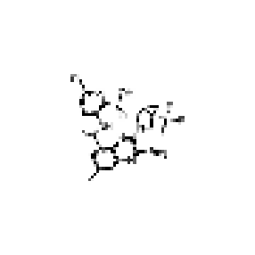 Cc1cc([C@@H](C)Nc2ccc(Cl)nc2C(=O)O)c2nc(N3CC4C[C@@]4(C(F)(F)F)C3)c(C#N)nc2c1